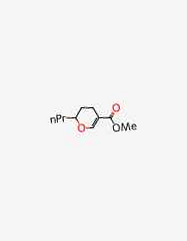 CCCC1CCC(C(=O)OC)=CO1